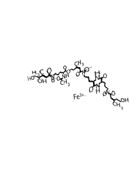 CC(=O)NC(CCCN([O-])C(=O)/C=C(\C)C(O)CO)C(=O)OCC/C(C)=C\C(=O)N([O-])CCCC1NC(=O)C(CCCN([O-])C(=O)/C=C(/C)CCO)NC1=O.[Fe+3]